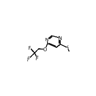 CSc1cc(OCC(F)(F)F)ncn1